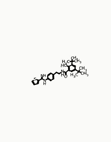 CC(C)(C)c1cc(C(=O)NCCc2ccc(NC(=N)c3cccs3)cc2)c(O)c(C(C)(C)C)c1